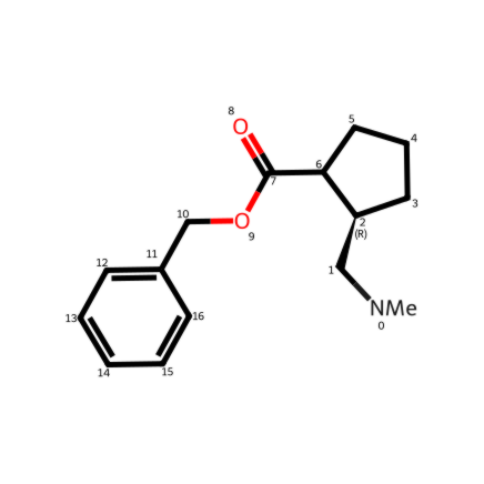 CNC[C@@H]1CCCC1C(=O)OCc1ccccc1